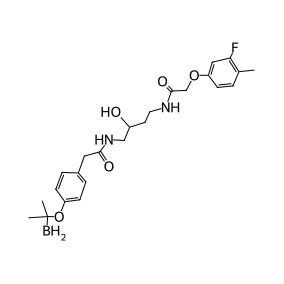 BC(C)(C)Oc1ccc(CC(=O)NCC(O)CCNC(=O)COc2ccc(C)c(F)c2)cc1